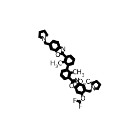 Cc1c(-c2nc3ccc(CN4CCCC4)cc3o2)cccc1-c1cccc(-c2nc3cc(CN4CCC[C@H]4C(=O)O)c(OC(F)F)cc3o2)c1C